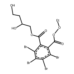 CCOOC(=O)c1c(Br)c(Br)c(Br)c(Br)c1C(=O)OCC(O)CCO